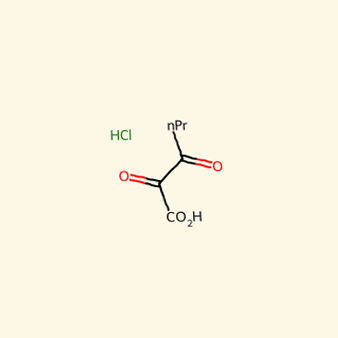 CCCC(=O)C(=O)C(=O)O.Cl